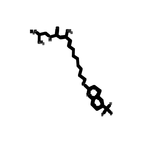 CC(C=CCCCCCCCOc1ccc2cc(C(F)(F)F)ccc2n1)=CC(=O)NCC(C)C